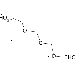 O=COCOCOCC(=O)O